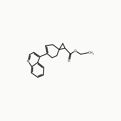 CCOC(=O)C1CC12CC=C(c1ccnc3ccccc13)CC2